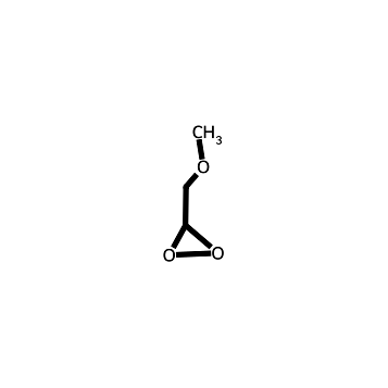 COCC1OO1